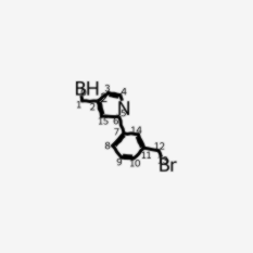 BCc1ccnc(-c2cccc(CBr)c2)c1